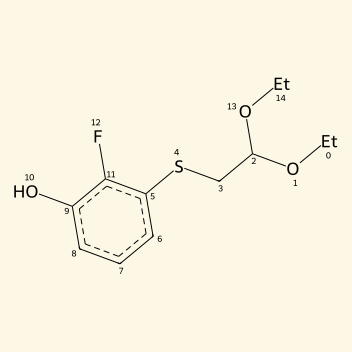 CCOC(CSc1cccc(O)c1F)OCC